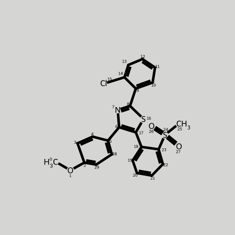 COc1ccc(-c2nc(-c3ccccc3Cl)sc2-c2ccccc2S(C)(=O)=O)cc1